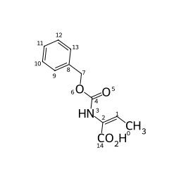 CC=C(NC(=O)OCc1ccccc1)C(=O)O